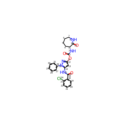 O=C(N[C@@H]1CCCCNC1=O)Oc1cc(NC(=O)c2ccccc2Cl)n(-c2ccccc2)n1